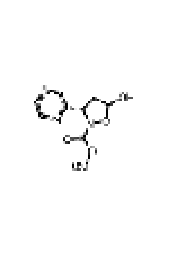 CC(C)(C)OC(=O)N1OC(O)C[C@H]1c1cnccn1